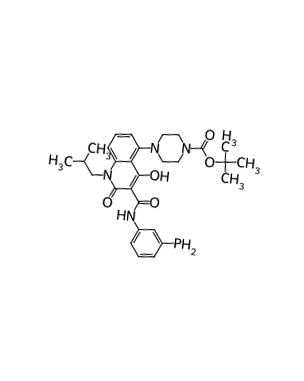 CC(C)Cn1c(=O)c(C(=O)Nc2cccc(P)c2)c(O)c2c(N3CCN(C(=O)OC(C)(C)C)CC3)cccc21